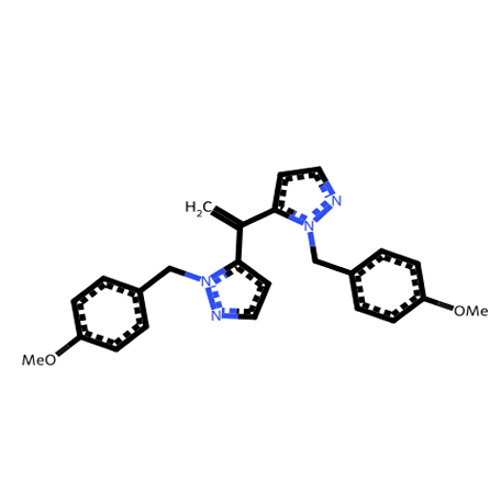 C=C(c1ccnn1Cc1ccc(OC)cc1)c1ccnn1Cc1ccc(OC)cc1